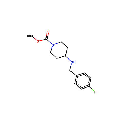 CCCCOC(=O)N1CCC(NCc2ccc(F)cc2)CC1